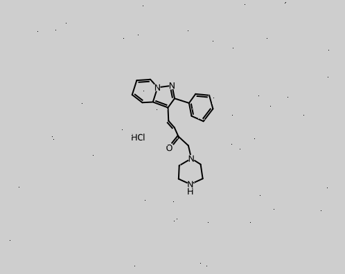 Cl.O=C(C=Cc1c(-c2ccccc2)nn2ccccc12)CN1CCNCC1